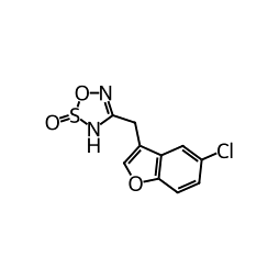 O=S1NC(Cc2coc3ccc(Cl)cc23)=NO1